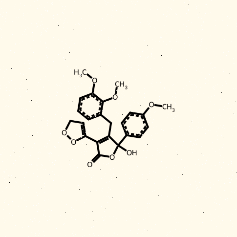 COc1ccc(C2(O)OC(=O)C(C3=CCOO3)=C2Cc2cccc(OC)c2OC)cc1